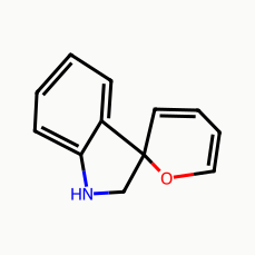 C1=COC2(C=C1)CNc1ccccc12